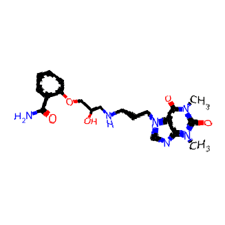 Cn1c(=O)c2c(ncn2CCCNCC(O)COc2ccccc2C(N)=O)n(C)c1=O